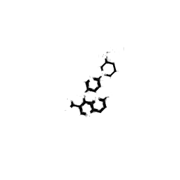 CCC(=O)c1cnc2ccc(Cl)nc2c1Nc1ccc(N2CCCC(NC(=O)O)C2)nc1